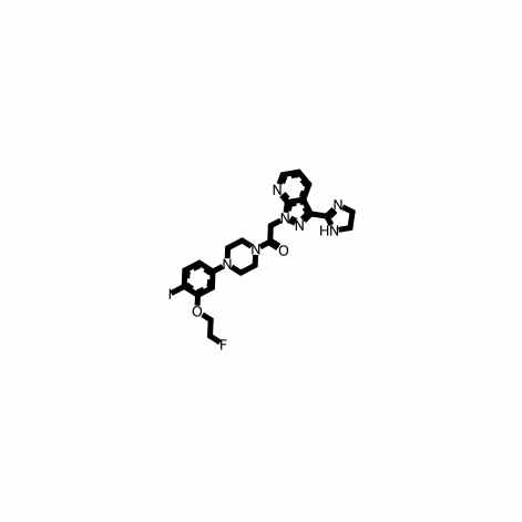 O=C(Cn1nc(C2=NCCN2)c2cccnc21)N1CCN(c2ccc(I)c(OCCF)c2)CC1